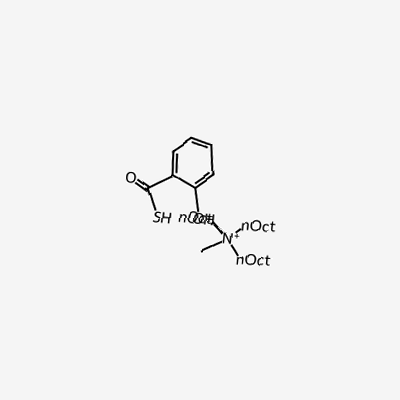 CCCCCCCC[N+](C)(CCCCCCCC)CCCCCCCC.O=C(S)c1ccccc1O